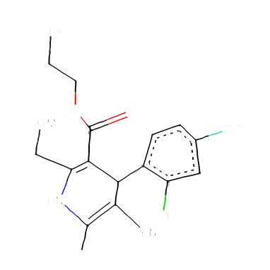 COCC1=C(C(=O)OCCC(C)(C)C)C(c2ccc(F)cc2Cl)C(C#N)=C(C)N1